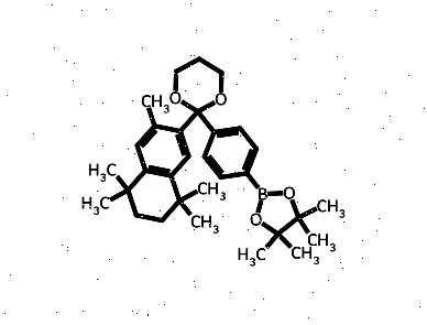 Cc1cc2c(cc1C1(c3ccc(B4OC(C)(C)C(C)(C)O4)cc3)OCCCO1)C(C)(C)CCC2(C)C